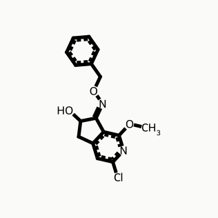 COc1nc(Cl)cc2c1/C(=N/OCc1ccccc1)C(O)C2